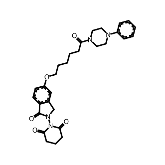 O=C(CCCCCOc1ccc2c(c1)CN(N1C(=O)CCCC1=O)C2=O)N1CCN(c2ccccc2)CC1